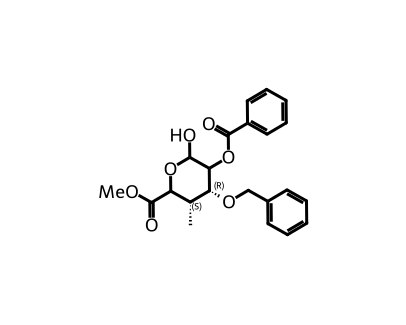 COC(=O)C1OC(O)C(OC(=O)c2ccccc2)[C@H](OCc2ccccc2)[C@@H]1C